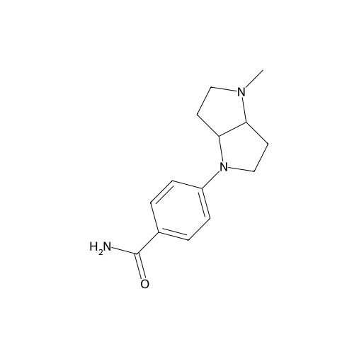 CN1CCC2C1CCN2c1ccc(C(N)=O)cc1